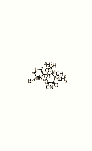 [2H]C([2H])([2H])OC1(c2cccc(Br)n2)CC(C#N)C(=O)C(C)(C)C1